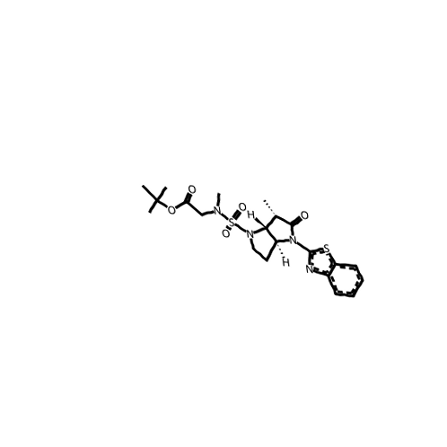 C[C@@H]1C(=O)N(c2nc3ccccc3s2)[C@H]2CCN(S(=O)(=O)N(C)CC(=O)OC(C)(C)C)[C@H]12